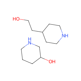 OC1CCCNC1.OCCC1CCNCC1